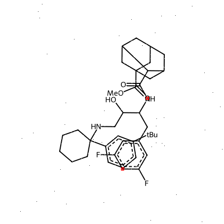 COC(=O)C12CC3CC(C1)C(C(=O)NC(Cc1cc(F)cc(F)c1)C(O)CNC1(c4cccc(C(C)(C)C)c4)CCCCC1)C(C3)C2